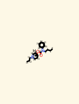 CCCCN(C(=O)O[C@H]1C[N+]2(CCC)CCC1CC2)c1ccccc1